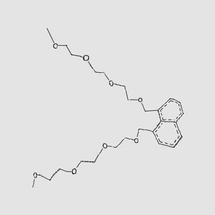 COCCOCCOCCOCc1cccc2cccc(COCCOCCOCCOC)c12